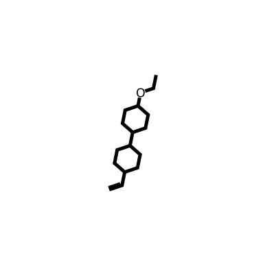 C=CC1CCC(C2CCC(OCC)CC2)CC1